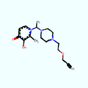 C#CCOCCN1CCN(C(C)n2ccc(=O)c(O)c2C)CC1